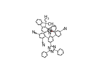 CC1(C)c2ccccc2-c2ccc3c(c21)c1ccccc1n3-c1c(-c2ccc(C#N)cc2C#N)cc(-c2nc(-c3ccccc3)nc(-c3ccccc3)n2)cc1-c1ccc(C#N)cc1C#N